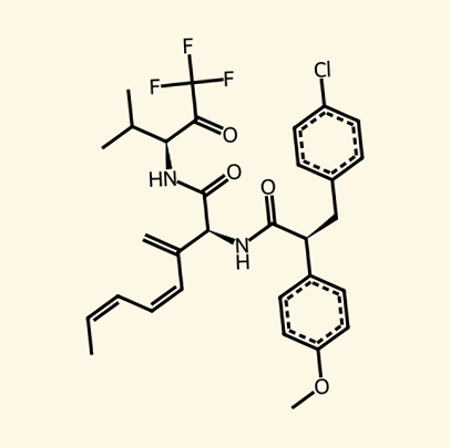 C=C(/C=C\C=C/C)[C@H](NC(=O)[C@@H](Cc1ccc(Cl)cc1)c1ccc(OC)cc1)C(=O)N[C@H](C(=O)C(F)(F)F)C(C)C